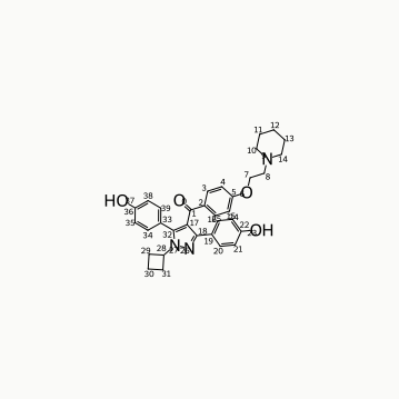 O=C(c1ccc(OCCN2CCCCC2)cc1)c1c(-c2ccc(O)cc2)nn(C2CCC2)c1-c1ccc(O)cc1